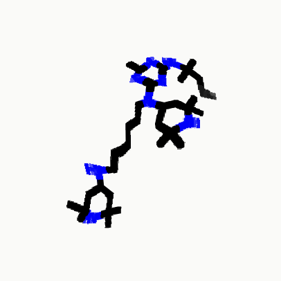 Cc1nc(NC(C)(C)CC(C)(C)C)nc(N(CCCCCCNC2CC(C)(C)NC(C)(C)C2)C2CC(C)(C)NC(C)(C)C2)n1